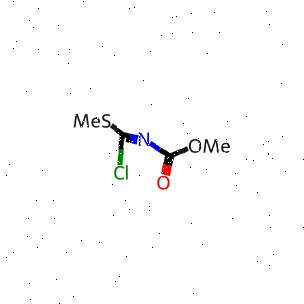 COC(=O)N=C(Cl)SC